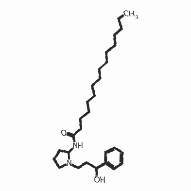 CCCCCCCCCCCCCCCC(=O)NC1CCCN1CCC(O)c1ccccc1